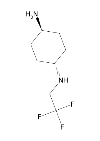 N[C@H]1CC[C@H](NCC(F)(F)F)CC1